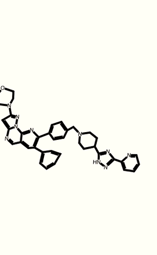 c1ccc(-c2cc3cnc4cc(N5CCOCC5)nn4c3nc2-c2ccc(CN3CCC(c4nc(-c5ccccn5)n[nH]4)CC3)cc2)cc1